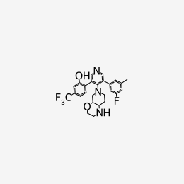 Cc1cc(F)cc(-c2cncc(-c3ccc(C(F)(F)F)cc3O)c2N2CCC3NCCOC3C2)c1